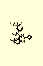 CN1C=CC(Nc2nc(C3CCC3)nc3cn[nH]c23)=CC1O